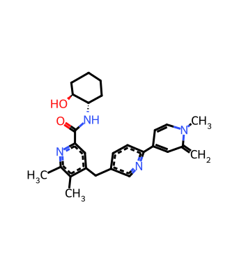 C=C1C=C(c2ccc(Cc3cc(C(=O)N[C@H]4CCCC[C@@H]4O)nc(C)c3C)cn2)C=CN1C